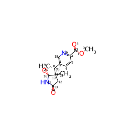 COC(=O)c1ccc([C@@H](C)[C@]2(C)CC(=O)NC2=O)cn1